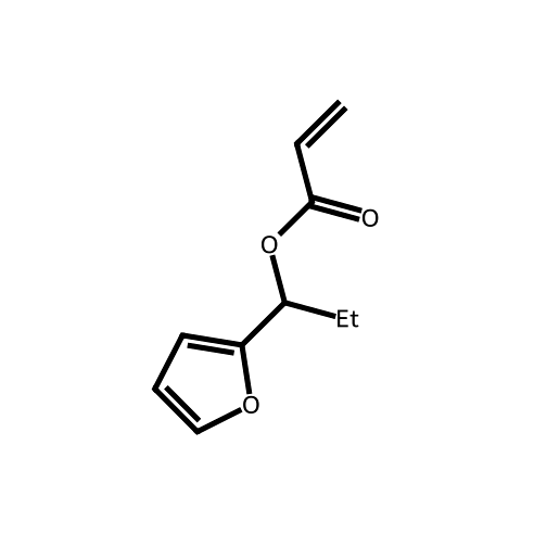 [CH2]CC(OC(=O)C=C)c1ccco1